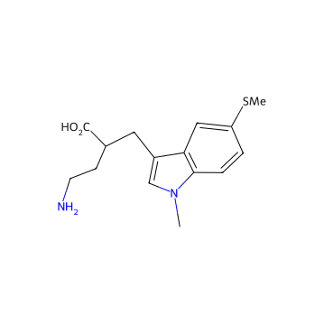 CSc1ccc2c(c1)c(CC(CCN)C(=O)O)cn2C